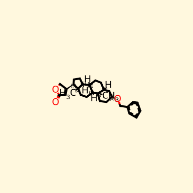 C[C@]12CC[C@H](OCc3ccccc3)C[C@H]1CC[C@@H]1[C@@H]2CC[C@]2(C)[C@@H](C3=CC(=O)OC3)CC[C@@H]12